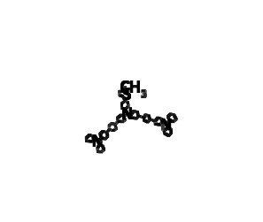 Cc1ccc(C2CCC(N(c3ccc(-c4ccc(-c5ccc(N(c6ccccc6)c6ccccc6)cc5)cc4)cc3)c3ccc(C4CCC(c5ccc(N(c6ccccc6)c6ccccc6)cc5)CC4)cc3)CC2)s1